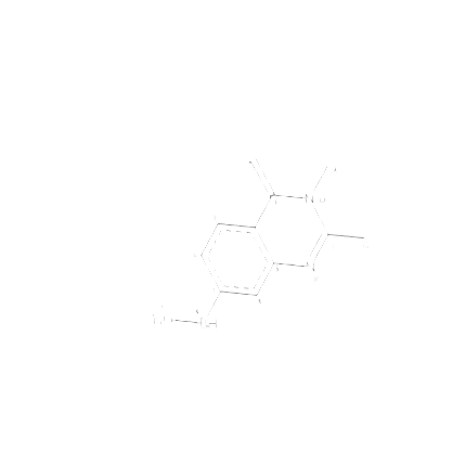 C=C1c2ccc(BO)cc2N=C(C)N1C